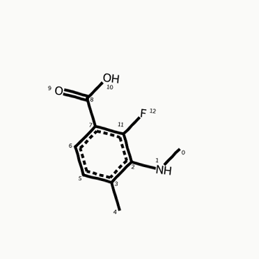 CNc1c(C)ccc(C(=O)O)c1F